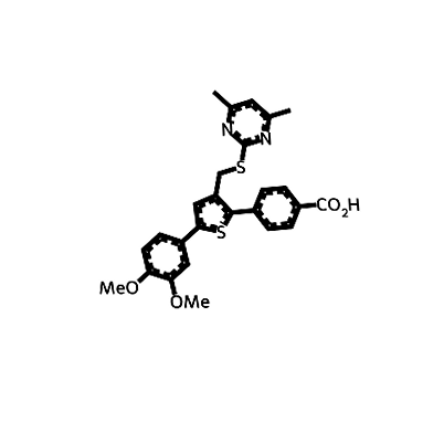 COc1ccc(-c2cc(CSc3nc(C)cc(C)n3)c(-c3ccc(C(=O)O)cc3)s2)cc1OC